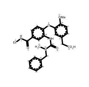 CCNC(=O)c1ccc(Oc2cc(CC(=O)O)ccc2OC)c(NC(=O)N(C)Cc2ccccc2)c1